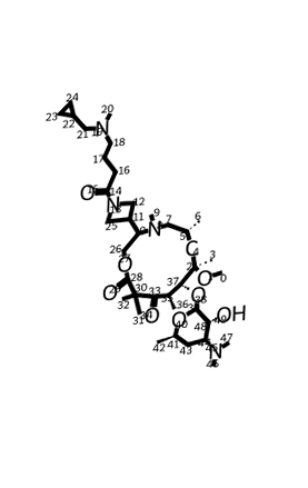 CO[C@]1(C)C[C@@H](C)CN(C)C(C2CN(C(=O)CCCN(C)CC3CC3)C2)COC(=O)C(C)(C)C(=O)[C@H](C)[C@H]1OC1O[C@H](C)C[C@H](N(C)C)[C@H]1O